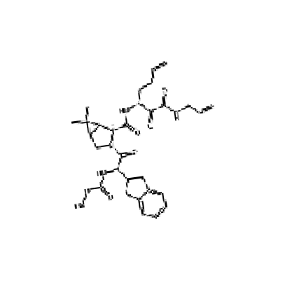 C=CCCC(NC(=O)[C@@H]1C2C(CN1C(=O)C(NC(=O)OC(C)(C)C)C1Cc3ccccc3C1)C2(C)C)C(=O)C(=O)NCC=C